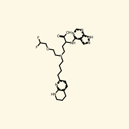 O=C(O)C(CCN(CCCCc1ccc2c(n1)NCCC2)CCOCC(F)F)Nc1ncnc2[nH]ncc12